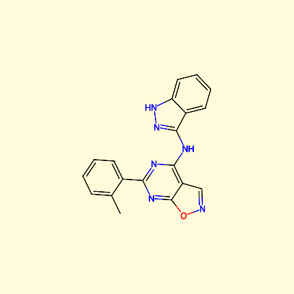 Cc1ccccc1-c1nc(Nc2n[nH]c3ccccc23)c2cnoc2n1